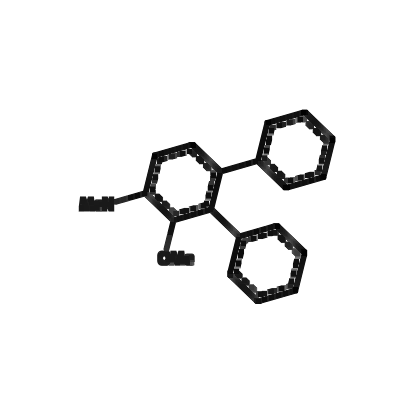 CNc1ccc(-c2ccccc2)c(-c2ccccc2)c1OC